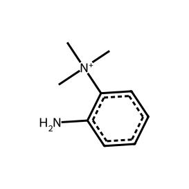 C[N+](C)(C)c1ccccc1N